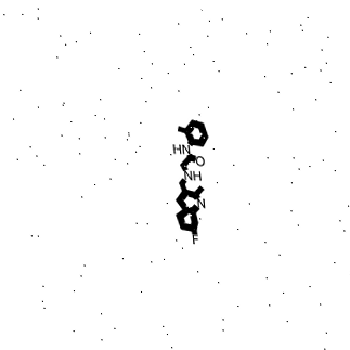 Cc1ccccc1NC(=O)CNCc1cc2ccc(F)cc2nc1C